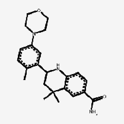 Cc1ccc(N2CCOCC2)cc1C1CC(C)(C)c2cc(C(N)=O)ccc2N1